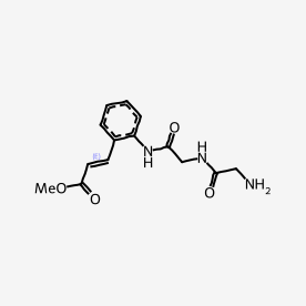 COC(=O)/C=C/c1ccccc1NC(=O)CNC(=O)CN